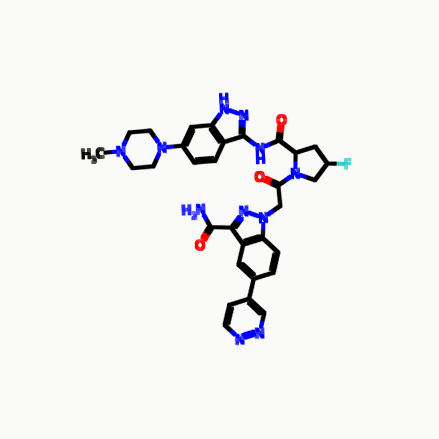 CN1CCN(c2ccc3c(NC(=O)C4CC(F)CN4C(=O)Cn4nc(C(N)=O)c5cc(-c6ccnnc6)ccc54)n[nH]c3c2)CC1